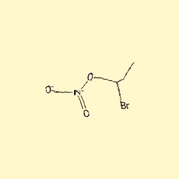 CC(Br)O[N+](=O)[O-]